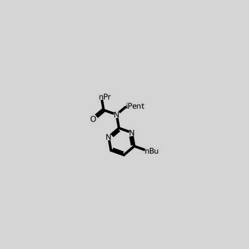 CCCCc1ccnc(N(C(=O)CCC)C(C)CCC)n1